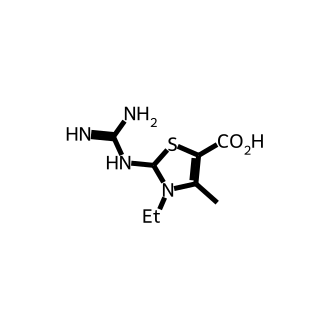 CCN1C(C)=C(C(=O)O)SC1NC(=N)N